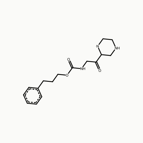 O=C(NCC(=O)C1CNCC[N]1)OCCCc1ccccc1